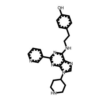 Oc1ccc(CCNc2nc(-c3cccnc3)nc3c2ncn3C2CCNCC2)cc1